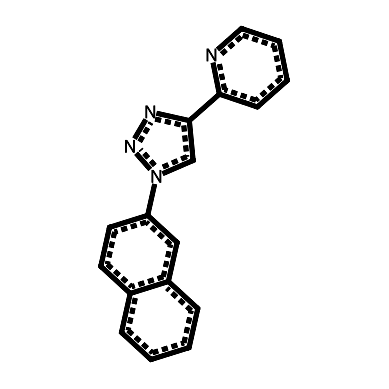 c1ccc(-c2cn(-c3ccc4ccccc4c3)nn2)nc1